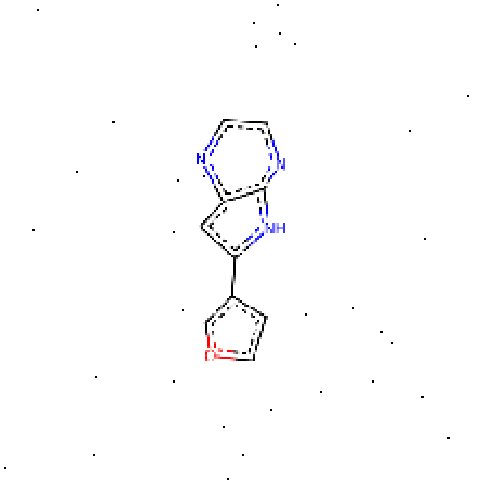 c1cnc2[nH]c(-c3ccoc3)cc2n1